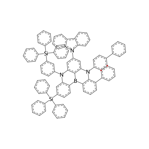 c1ccc(-c2ccc(N3c4cc(-n5c6ccccc6c6ccccc65)cc5c4B(c4ccc([Si](c6ccccc6)(c6ccccc6)c6ccccc6)cc4N5c4cccc([Si](c5ccccc5)(c5ccccc5)c5ccccc5)c4)c4cccc(-c5ccccc5)c43)cc2)cc1